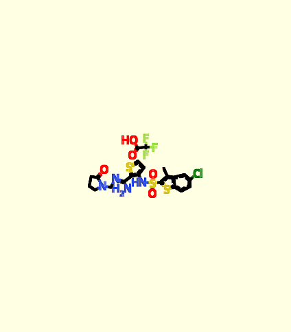 Cc1c(S(=O)(=O)Nc2ccsc2C(N)=NCN2CCCC2=O)sc2ccc(Cl)cc12.O=C(O)C(F)(F)F